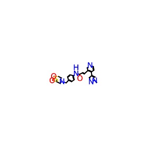 Cn1cc(-c2ccncc2C=CC(=O)Nc2ccc(CN3CCS(=O)(=O)CC3)cc2)cn1